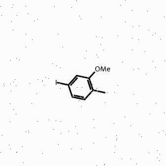 [CH2]c1ccc(I)cc1OC